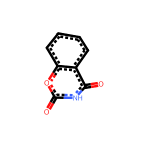 O=c1[nH]c(=O)c2cc[c]cc2o1